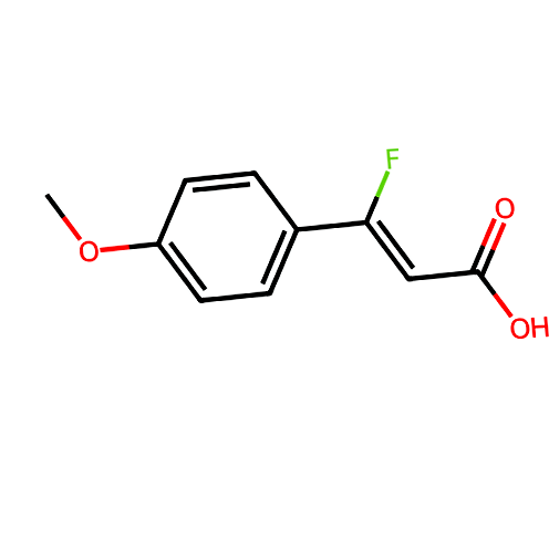 COc1ccc(C(F)=CC(=O)O)cc1